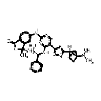 CN(C)C12CC(C1)[C@H](c1noc(-c3cnc(Nc4ccc5c(c4)C(C)(C)OC5=O)nc3N[C@H](CO)c3ccccc3)n1)C2